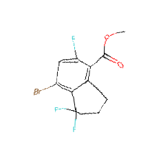 COC(=O)c1c(F)cc(Br)c2c1CCC2(F)F